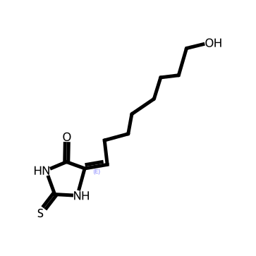 O=C1NC(=S)N/C1=C/CCCCCCCO